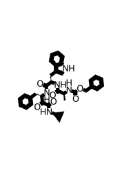 C[C@H](NC(=O)OCc1ccccc1)C(=O)N[C@@H](Cc1c[nH]c2ccccc12)C(=O)N[C@@H](Cc1ccccc1)C(=O)C(=O)NC1CC1